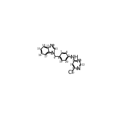 Clc1cc(Nc2ccc(Cn3cnc4ccccc43)cc2)ncn1